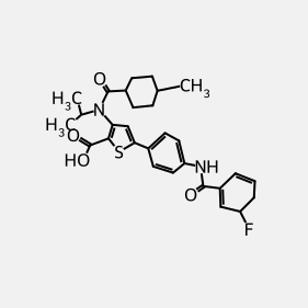 CC1CCC(C(=O)N(c2cc(-c3ccc(NC(=O)C4=CC(F)CC=C4)cc3)sc2C(=O)O)C(C)C)CC1